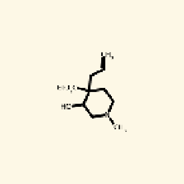 C=CCC1(C(=O)OCC)CCN(C)CC1O